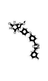 COCCC1(Oc2ccc(Oc3ccc(-c4nnc(-c5cccc(F)c5)o4)cc3)cc2)C(=O)NC(=O)NC1=O